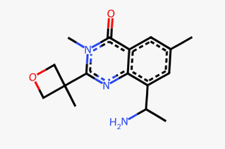 Cc1cc(C(C)N)c2nc(C3(C)COC3)n(C)c(=O)c2c1